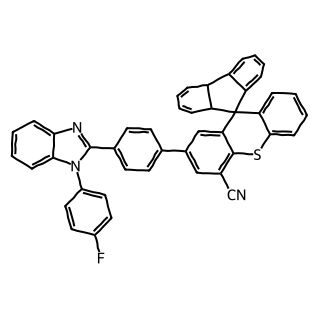 N#Cc1cc(-c2ccc(-c3nc4ccccc4n3-c3ccc(F)cc3)cc2)cc2c1Sc1ccccc1C21c2ccccc2C2C=CC=CC21